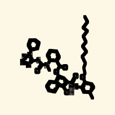 CCCCCCCCCCCCOc1ccc(C)cc1NC(=O)c1cc(OC(=O)c2ccccc2N(C)C(=O)Sc2nnnn2-c2ccccc2)c2ccccc2c1O